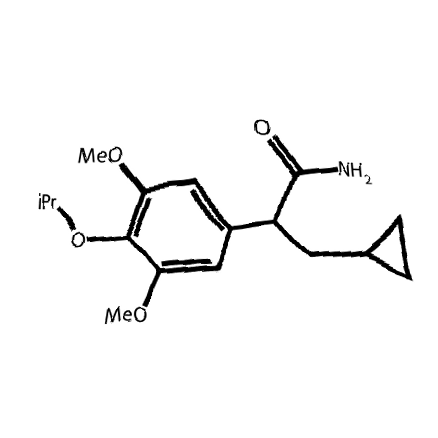 COc1cc(C(CC2CC2)C(N)=O)cc(OC)c1OC(C)C